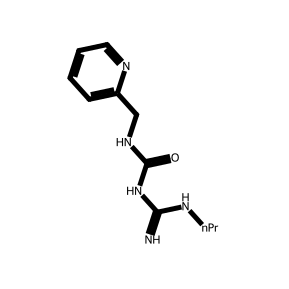 CCCNC(=N)NC(=O)NCc1ccccn1